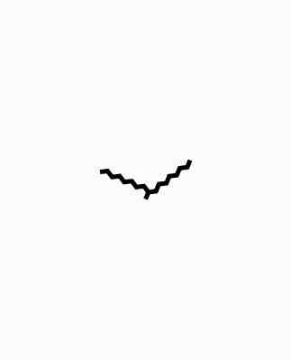 CCCCCCCC[C](C)CCCCCCCC